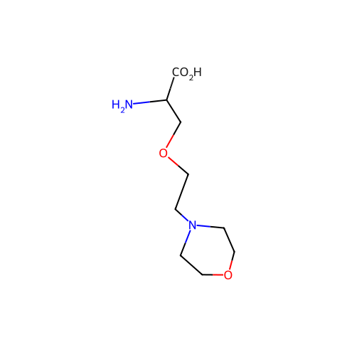 NC(COCCN1CCOCC1)C(=O)O